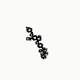 [C-]#[N+]c1cc2c(Oc3ccc(NC(=O)Nc4nccs4)cc3)ccnc2cc1OCC1CCN(C)CC1